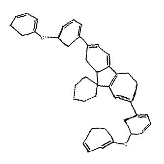 C1=CCCC(OC2C=CC=C(C3=CC4=C(CC3)C3=CC=C(C5=CC=CC(OC6=CC=CCC6)C5)CC3C43CCCCC3)C2)=C1